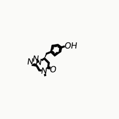 CN1Cc2cnnn2[C@@H](Cc2ccc(O)cc2)CC1=O